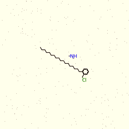 CCCCCCCCCCCCCCCCCCc1ccccc1CCl.CNC